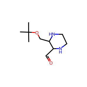 CC(C)(C)OCC1NCCNC1C=O